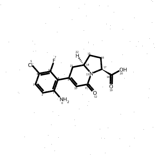 Nc1ccc(Cl)c(F)c1C1=CC(=O)N2[C@H](CC[C@H]2C(=O)O)C1